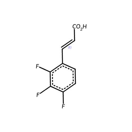 O=C(O)/C=C/c1ccc(F)c(F)c1F